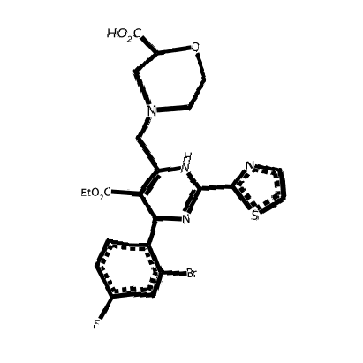 CCOC(=O)C1=C(CN2CCOC(C(=O)O)C2)NC(c2nccs2)=NC1c1ccc(F)cc1Br